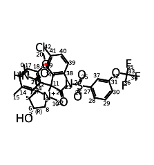 CNC(=O)[C@@H]1C[C@@H](O)C[N+]1(C)C1(c2cc(C)ccc2OC)C(=O)N(S(=O)(=O)c2cccc(OC(F)(F)F)c2)c2ccc(Cl)cc21